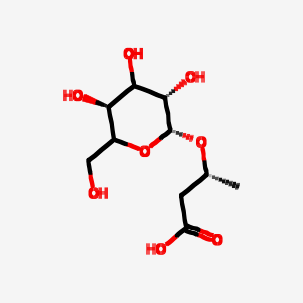 C[C@H](CC(=O)O)O[C@@H]1OC(CO)[C@@H](O)C(O)[C@@H]1O